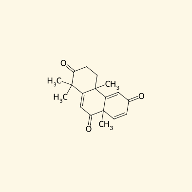 CC1(C)C(=O)CCC2(C)C1=CC(=O)C1(C)C=CC(=O)C=C12